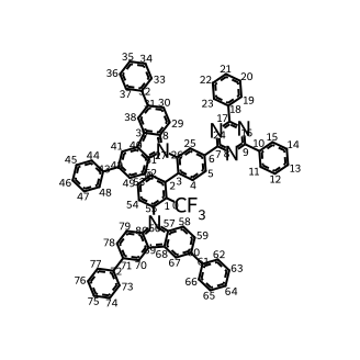 FC(F)(F)c1c(-c2ccc(-c3nc(-c4ccccc4)nc(-c4ccccc4)n3)cc2-n2c3ccc(-c4ccccc4)cc3c3cc(-c4ccccc4)ccc32)cccc1-n1c2ccc(-c3ccccc3)cc2c2cc(-c3ccccc3)ccc21